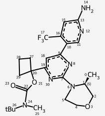 C[C@H]1COCCN1c1nc(-c2cnc(N)cc2C(F)(F)F)cc(C2(OC(=O)N(C)C(C)(C)C)CCC2)n1